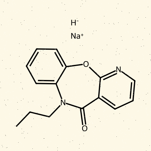 CCCN1C(=O)c2cccnc2Oc2ccccc21.[H-].[Na+]